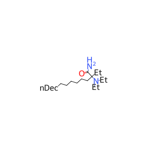 CCCCCCCCCCCCCCCCC(CC)(C(N)=O)N(CC)CC